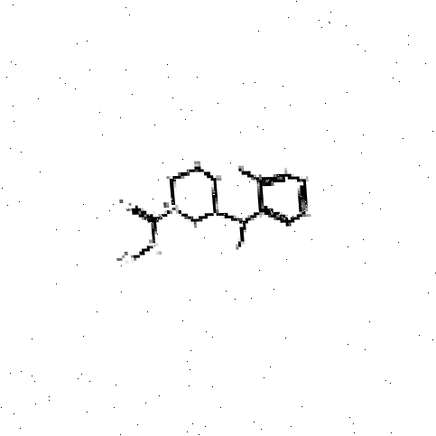 Cc1ccccc1C(C)C1CCCN(C(=O)OC(C)(C)C)C1